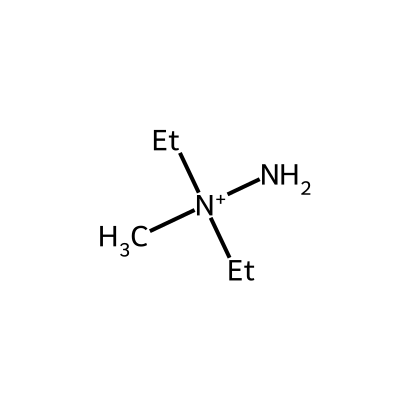 CC[N+](C)(N)CC